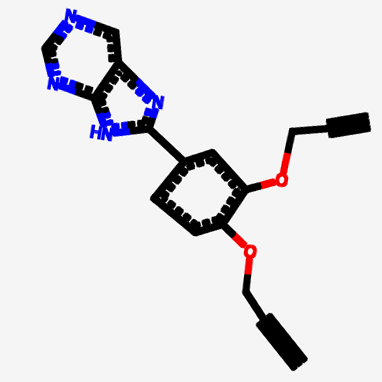 C#CCOc1ccc(-c2nc3cncnc3[nH]2)cc1OCC#C